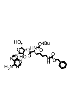 CC(C)(C)OC(=O)N[C@@H](CCCCNC(=O)OCc1ccccc1)C(=O)O[C@H]1[C@@H](O)[C@H](n2cnc3c(N)ncnc32)O[C@@H]1CO